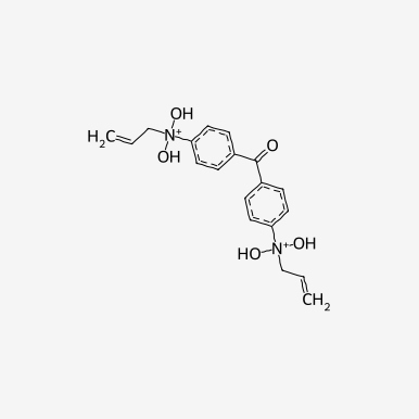 C=CC[N+](O)(O)c1ccc(C(=O)c2ccc([N+](O)(O)CC=C)cc2)cc1